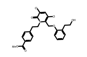 COC(=O)c1ccc(CCn2c(COc3ccccc3CCO)c(Cl)cc(Cl)c2=O)cc1